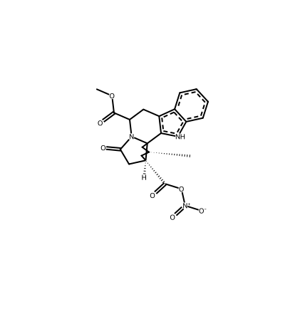 COC(=O)C1Cc2c([nH]c3ccccc23)C23C[C@H](C)[C@@H](C(=O)O[N+](=O)[O-])[C@@H]2CC(=O)N13